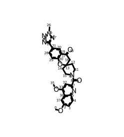 COc1ccc2nc(C(=O)N3CCC4(CC3)CC(=O)c3cc(-c5nnn(C)n5)ccc3O4)cc(OC)c2c1